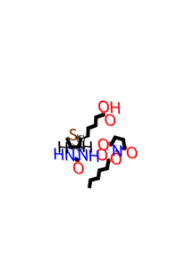 CCCCCC(=O)ON1C(=O)CCC1=O.O=C(O)CCCC[C@@H]1SC[C@@H]2NC(=O)N[C@@H]21